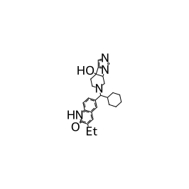 CCc1cc2cc(C(C3CCCCC3)N3CCC4(O)c5cncn5C4C3)ccc2[nH]c1=O